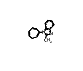 Cc1nc2ccccc2n1C1=CCC=CC=C1